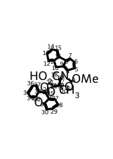 COC(=O)N(c1cccc2c1Cc1ccccc1-2)[C@H](C(=O)O)[C@@H](C)[C@@H]1COC2(O1)c1ccccc1Oc1ccccc12